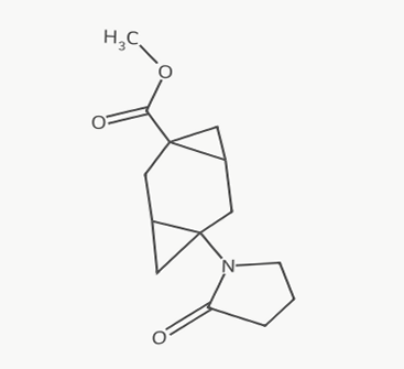 COC(=O)C12CC1CC1(N3CCCC3=O)CC1C2